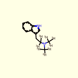 [2H]C([2H])([2H])N(C([2H])([2H])[2H])C([2H])([2H])Cc1c[nH]c2ccccc12